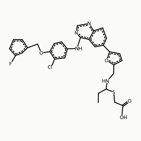 CCC(NCc1ccc(-c2ccc3ncnc(Nc4ccc(OCc5cccc(F)c5)c(Cl)c4)c3c2)o1)SCC(=O)O